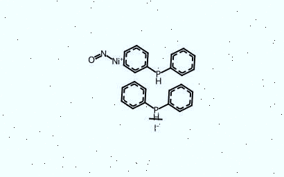 CC.O=[N][Ni+].[I-].c1ccc(Pc2ccccc2)cc1.c1ccc(Pc2ccccc2)cc1